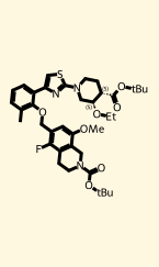 CCO[C@@H]1CN(c2nc(-c3cccc(C)c3OCc3cc(OC)c4c(c3F)CCN(C(=O)OC(C)(C)C)C4)cs2)CC[C@@H]1C(=O)OC(C)(C)C